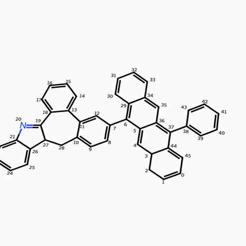 C1=CCC2C=c3c(-c4ccc5c(c4)-c4ccccc4C4=Nc6ccccc6C4C5)c4ccccc4cc3=C(c3ccccc3)C2=C1